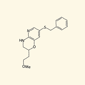 COCCC1CNc2ncc(SCc3ccccc3)cc2O1